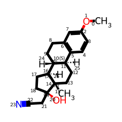 COc1ccc2c(c1)CC[C@@H]1[C@@H]2CC[C@@]2(C)[C@H]1CC[C@@]2(O)CC#N